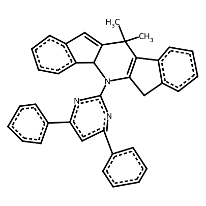 CC1(C)C2=Cc3ccccc3C2N(c2nc(-c3ccccc3)cc(-c3ccccc3)n2)C2=C1c1ccccc1C2